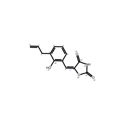 C=CCc1cccc(/C=C2/OC(=O)NC2=O)c1O